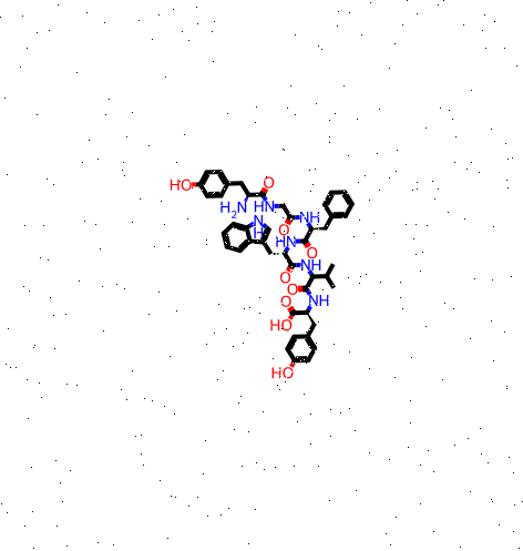 CC(C)C(NC(=O)[C@H](Cc1c[nH]c2ccccc12)NC(=O)[C@H](Cc1ccccc1)NC(=O)CNC(=O)[C@@H](N)Cc1ccc(O)cc1)C(=O)N[C@@H](Cc1ccc(O)cc1)C(=O)O